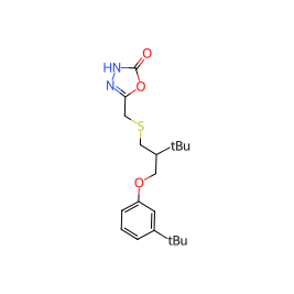 CC(C)(C)c1cccc(OCC(CSCc2n[nH]c(=O)o2)C(C)(C)C)c1